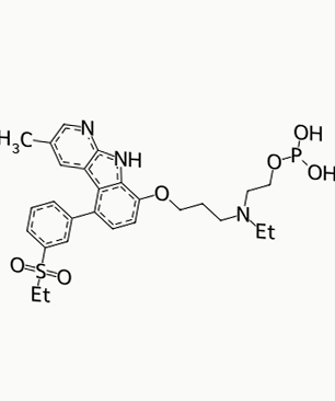 CCN(CCCOc1ccc(-c2cccc(S(=O)(=O)CC)c2)c2c1[nH]c1ncc(C)cc12)CCOP(O)O